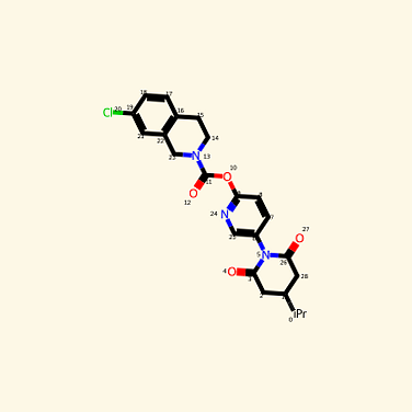 CC(C)C1CC(=O)N(c2ccc(OC(=O)N3CCc4ccc(Cl)cc4C3)nc2)C(=O)C1